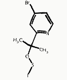 CC(C)(OSI)c1cc(Br)ccn1